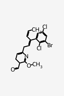 C/C=C\C(=C/CC1=CCC(C=O)C(OC)=N1)c1cc(Cl)cc(Br)c1Cl